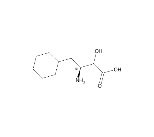 N[C@@H](CC1CCCCC1)C(O)C(=O)O